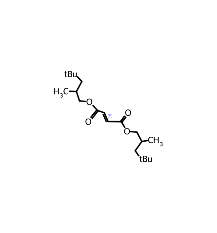 CC(COC(=O)/C=C/C(=O)OCC(C)CC(C)(C)C)CC(C)(C)C